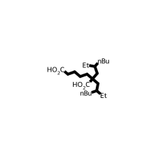 CCCCC(CC)CC(CCCCC(=O)O)(CC(CC)CCCC)C(=O)O